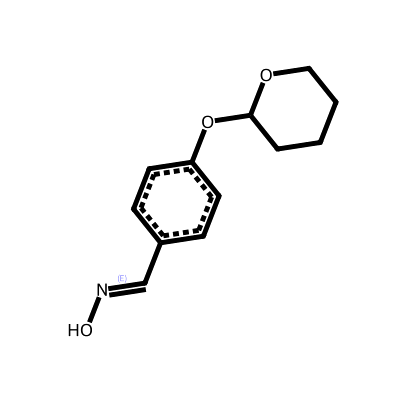 O/N=C/c1ccc(OC2CCCCO2)cc1